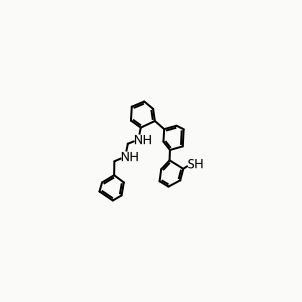 Sc1ccccc1-c1cccc(-c2ccccc2NCNCc2ccccc2)c1